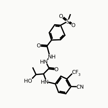 CC(O)C(Nc1ccc(C#N)c(C(F)(F)F)c1)C(=O)NNC(=O)c1ccc(S(C)(=O)=O)cc1